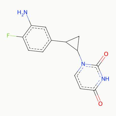 Nc1cc(C2CC2n2ccc(=O)[nH]c2=O)ccc1F